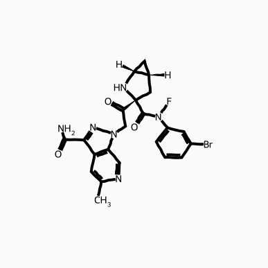 Cc1cc2c(C(N)=O)nn(CC(=O)[C@]3(C(=O)N(F)c4cccc(Br)c4)C[C@H]4C[C@H]4N3)c2cn1